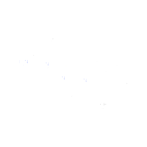 Cc1ccccc1-c1nc(NSc2cccc(N)n2)ccc1C